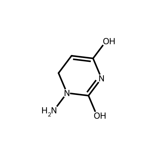 NN1CC=C(O)N=C1O